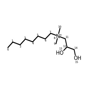 CCCCCCCC[N+](C)(C)CC(O)CO